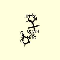 CC(C)(NS(=O)(=O)N1CCOC1=O)c1c[nH]nn1